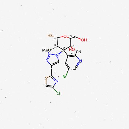 CO[C@@H]1[C@H](S)O[C@@H](CO)[C@@H](O)[C@@]1(c1cc(Br)cnc1C#N)n1cc(-c2nc(Cl)cs2)nn1